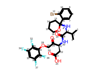 CC(C)[C@H](NC1(c2ccccc2Br)CCCCO1)C(=O)N[C@@H](CC(=O)O)C(=O)COc1c(F)c(F)cc(F)c1F